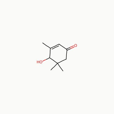 CC1=CC(=O)CC(C)(C)C1O